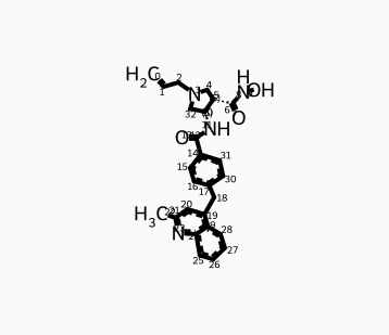 C=CCN1C[C@H](C(=O)NO)[C@H](NC(=O)c2ccc(Cc3cc(C)nc4ccccc34)cc2)C1